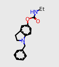 CCNC(=O)Oc1ccc2c(c1)CCN2Cc1ccccc1